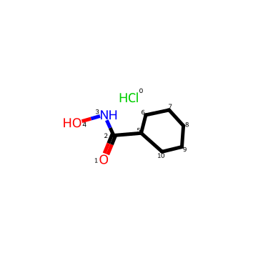 Cl.O=C(NO)C1CCCCC1